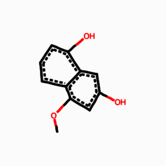 COc1cc(O)cc2c(O)cccc12